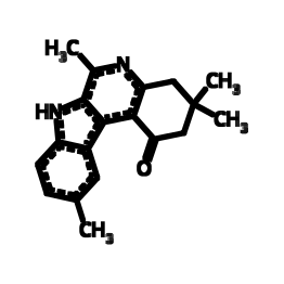 Cc1ccc2[nH]c3c(C)nc4c(c3c2c1)C(=O)CC(C)(C)C4